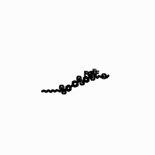 CCCCCCCCCC(=O)Oc1ccc(-c2ccc(C(=O)Oc3ccc(C(=O)O[C@H](CCCOCC)C(F)(F)F)c(F)c3)cc2)cc1